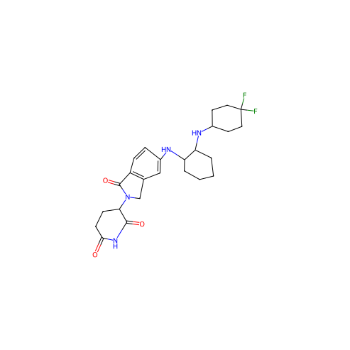 O=C1CCC(N2Cc3cc(NC4CCCCC4NC4CCC(F)(F)CC4)ccc3C2=O)C(=O)N1